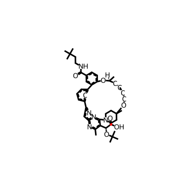 Cc1nc2cc3nn2c(c1[C@H](OC(C)(C)C)C(=O)O)N1CCC(C)(CC1)OCCCC[C@H](C)Oc1ccc(C(=O)NCCC(C)(C)C)cc1-c1cccc-3c1